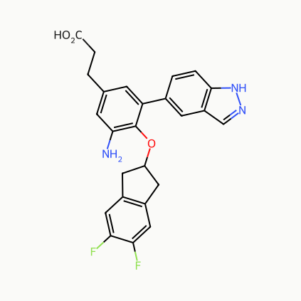 Nc1cc(CCC(=O)O)cc(-c2ccc3[nH]ncc3c2)c1OC1Cc2cc(F)c(F)cc2C1